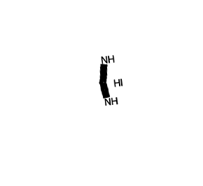 I.N=C=N